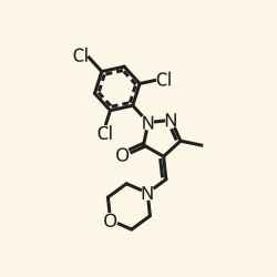 CC1=NN(c2c(Cl)cc(Cl)cc2Cl)C(=O)C1=CN1CCOCC1